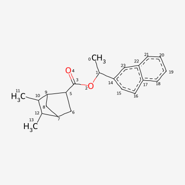 CC(OC(=O)C1CC2CC1C(C)C2C)c1ccc2ccccc2c1